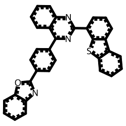 c1ccc2oc(-c3ccc(-c4nc(-c5cccc6c5sc5ccccc56)nc5ccccc45)cc3)nc2c1